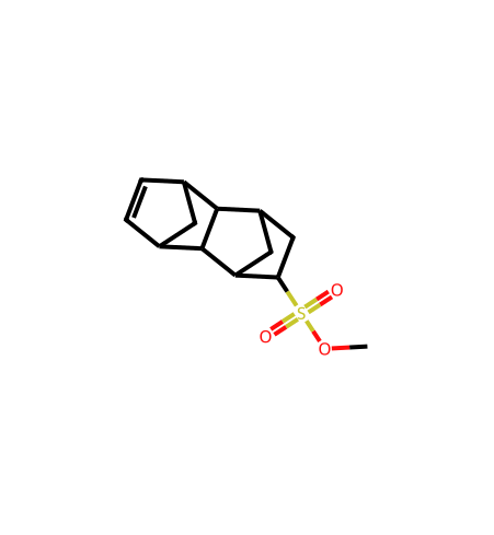 COS(=O)(=O)C1CC2CC1C1C3C=CC(C3)C21